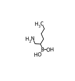 CCCCC(CN)B(O)O